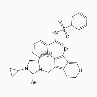 CCCC1N(Cc2c3ccocc-3c(Br)c2-c2ccccc2C(=O)NS(=O)(=O)c2ccccc2)C(C(=O)O)=CN1C1CC1